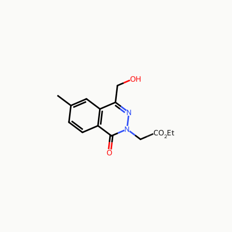 CCOC(=O)Cn1nc(CO)c2cc(C)ccc2c1=O